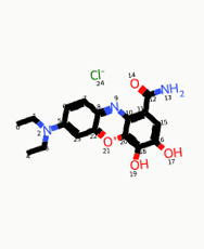 CCN(CC)c1ccc2nc3c(C(N)=O)cc(O)c(O)c3[o+]c2c1.[Cl-]